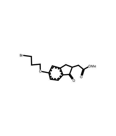 COC(=O)CC1Cc2cc(OCCCBr)ccc2C1=O